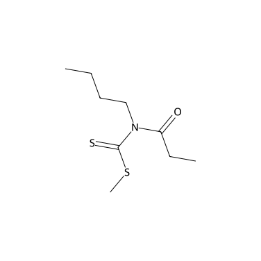 CCCCN(C(=O)CC)C(=S)SC